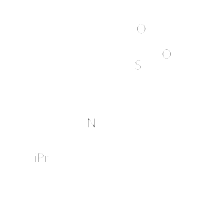 CC(C)C(C)N1CCS(=O)(=O)CC(C)(C)C1